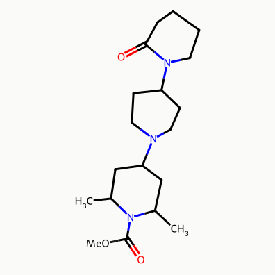 COC(=O)N1C(C)CC(N2CCC(N3CCCCC3=O)CC2)CC1C